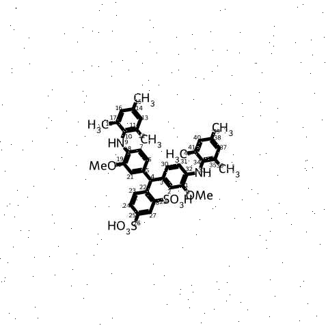 COc1cc(C(c2ccc(Nc3c(C)cc(C)cc3C)c(OC)c2)c2ccc(S(=O)(=O)O)cc2S(=O)(=O)O)ccc1Nc1c(C)cc(C)cc1C